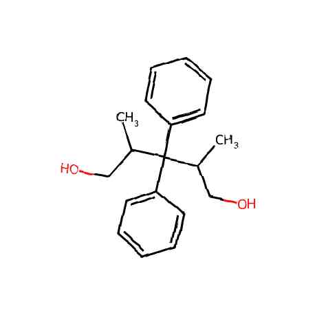 CC(CO)C(c1ccccc1)(c1ccccc1)C(C)CO